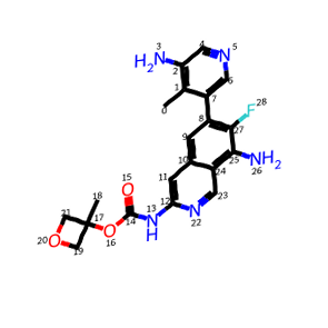 Cc1c(N)cncc1-c1cc2cc(NC(=O)OC3(C)COC3)ncc2c(N)c1F